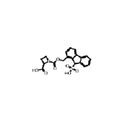 O=C(O)C1CCN1C(=O)OCc1cccc2c1C(S(=O)(=O)O)c1ccccc1-2